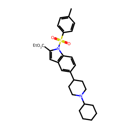 CCOC(=O)c1cc2cc(C3CCN(C4CCCCC4)CC3)ccc2n1S(=O)(=O)c1ccc(C)cc1